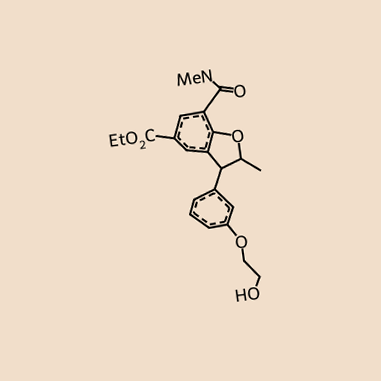 CCOC(=O)c1cc(C(=O)NC)c2c(c1)C(c1cccc(OCCO)c1)C(C)O2